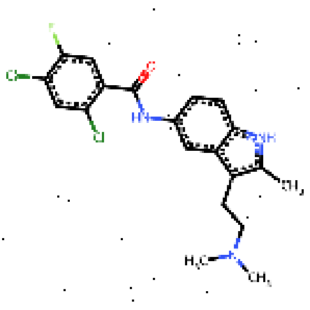 Cc1[nH]c2ccc(NC(=O)c3cc(F)c(Cl)cc3Cl)cc2c1CCN(C)C